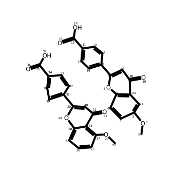 COc1ccc2oc(-c3ccc(C(=O)O)cc3)cc(=O)c2c1.COc1cccc2oc(-c3ccc(C(=O)O)cc3)cc(=O)c12